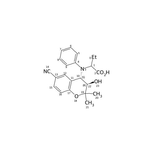 CCC(C(=O)O)N(c1ccccc1)[C@H]1c2cc(C#N)ccc2OC(C)(C)[C@@H]1O